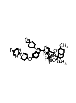 CC1CC2CC(C)C(NC(=O)c3cnc(-c4cn(C5CCC6(CC5)COC6)c5cc(OC6CCN(c7ncc(F)cn7)CC6)ccc45)nc3C(F)(F)F)(C(=O)O)C(C1)C2